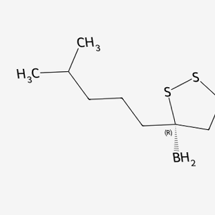 B[C@@]1(CCCC(C)C)CCSS1